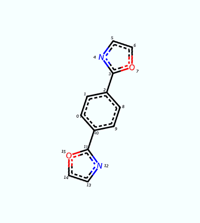 [c]1cc(-c2ncco2)ccc1-c1ncco1